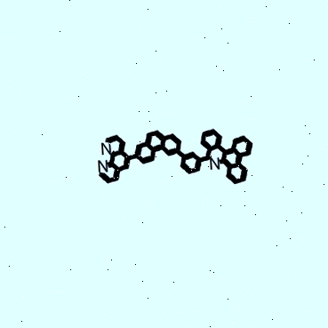 c1cc(-c2ccc3ccc4cc(-c5cc6cccnc6c6ncccc56)ccc4c3c2)cc(-c2nc3c4ccccc4c4ccccc4c3c3ccccc23)c1